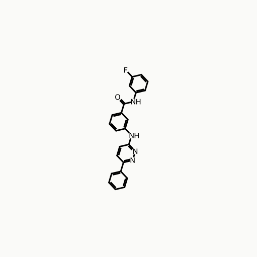 O=C(Nc1cccc(F)c1)c1cccc(Nc2ccc(-c3ccccc3)nn2)c1